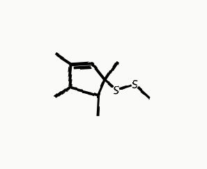 CSSC1(C)C=C(C)C(C)C1C